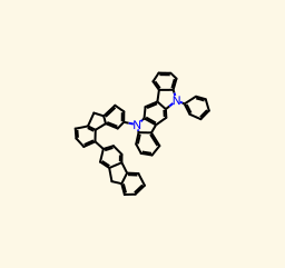 c1ccc(-n2c3ccccc3c3cc4c(cc32)c2ccccc2n4-c2ccc3c(c2)-c2c(cccc2-c2ccc4c(c2)Cc2ccccc2-4)C3)cc1